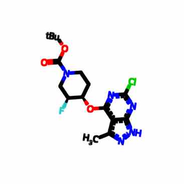 Cc1n[nH]c2nc(Cl)nc(O[C@@H]3CCN(C(=O)OC(C)(C)C)C[C@@H]3F)c12